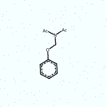 CC(=O)N(COc1ccccc1)C(C)=O